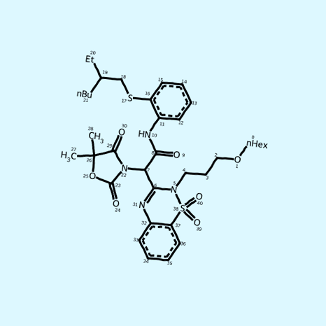 CCCCCCOCCCN1C(C(C(=O)Nc2ccccc2SCC(CC)CCCC)N2C(=O)OC(C)(C)C2=O)=Nc2ccccc2S1(=O)=O